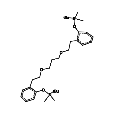 CC(C)(C)[Si](C)(C)Oc1ccccc1CCOCCCOCCc1ccccc1O[Si](C)(C)C(C)(C)C